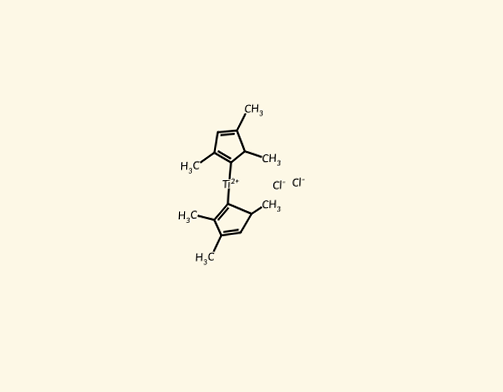 CC1=CC(C)[C]([Ti+2][C]2=C(C)C=C(C)C2C)=C1C.[Cl-].[Cl-]